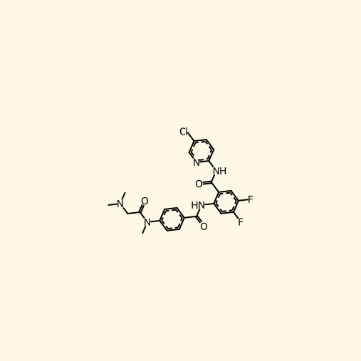 CN(C)CC(=O)N(C)c1ccc(C(=O)Nc2cc(F)c(F)cc2C(=O)Nc2ccc(Cl)cn2)cc1